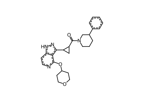 O=C(C1CC1c1n[nH]c2ccnc(OC3CCOCC3)c12)N1CCCC(c2ccccc2)C1